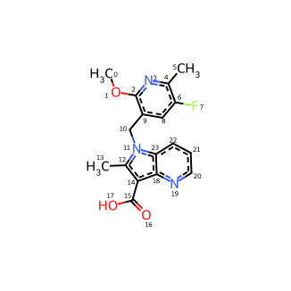 COc1nc(C)c(F)cc1Cn1c(C)c(C(=O)O)c2ncccc21